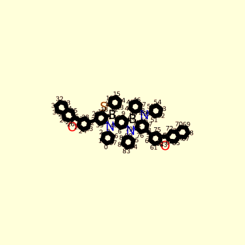 c1ccc(N2c3cc4c(cc3B3c5ccccc5Sc5cc(-c6ccc7oc8cc9ccccc9cc8c7c6)cc2c53)B2c3ccccc3N(c3ccccc3)c3cc(-c5ccc6oc7cc8ccccc8cc7c6c5)cc(c32)N4c2ccccc2)cc1